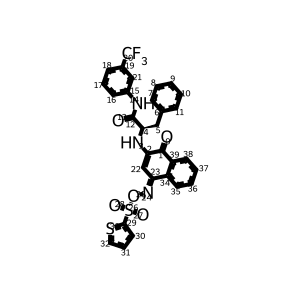 O=C1C(N[C@H](Cc2ccccc2)C(=O)Nc2cccc(C(F)(F)F)c2)=CC(=NOS(=O)(=O)c2cccs2)c2ccccc21